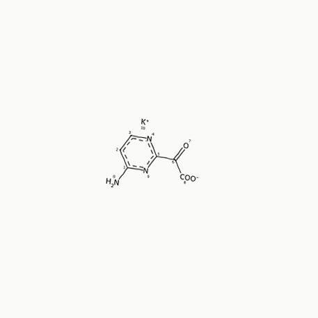 Nc1ccnc(C(=O)C(=O)[O-])n1.[K+]